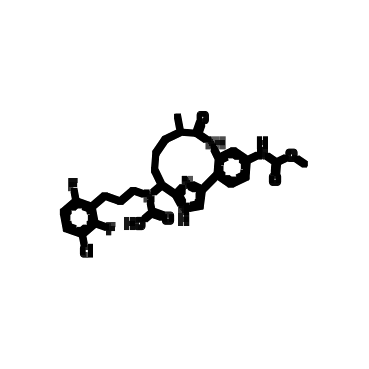 COC(=O)Nc1ccc2c(c1)NC(=O)C(C)CCCC(N(CCCc1c(F)ccc(Cl)c1F)C(=O)O)c1nc-2c[nH]1